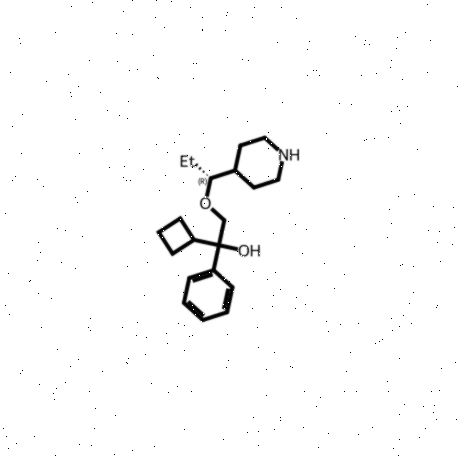 CC[C@@H](OCC(O)(c1ccccc1)C1CCC1)C1CCNCC1